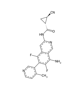 Cc1ccncc1-c1c(F)c(N)c2cnc(NC(=O)[C@@H]3C[C@H]3C#N)cc2c1F